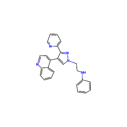 c1ccc(NCCn2cc(-c3ccnc4ccccc34)c(-c3ccccn3)n2)cc1